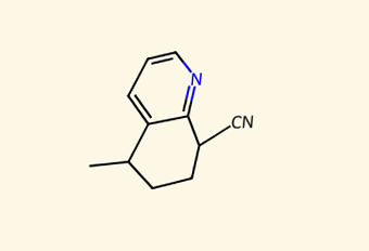 CC1CCC(C#N)c2ncccc21